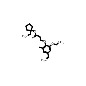 C=Cc1cc(I)c(OCCC(=O)OC2(CC)CCCC2)c(OCC)c1